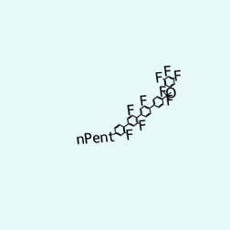 CCCCCc1ccc(-c2cc(F)c(-c3ccc(-c4ccc(C(F)(F)Oc5cc(F)c(F)c(F)c5)cc4)c(F)c3)c(F)c2)c(F)c1